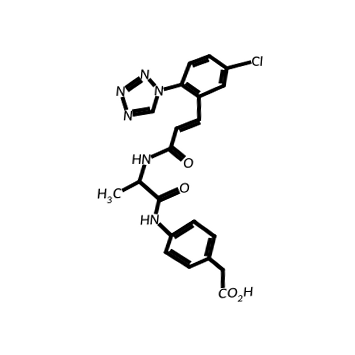 CC(NC(=O)C=Cc1cc(Cl)ccc1-n1cnnn1)C(=O)Nc1ccc(CC(=O)O)cc1